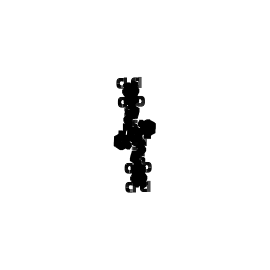 Cc1cccc(C)c1-c1c2nc(/C=c3\ccc(=C4C(=O)c5cc(Cl)c(Cl)cc5C4=O)s3)sc2c(-c2c(C)cccc2C)c2nc(/C=c3\ccc(=C4C(=O)c5cc(Cl)c(Cl)cc5C4=O)s3)sc12